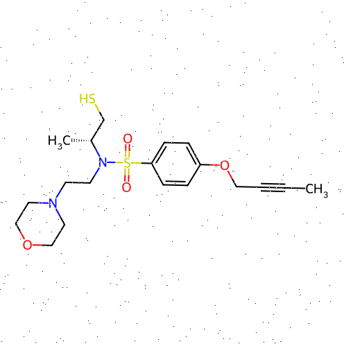 CC#CCOc1ccc(S(=O)(=O)N(CCN2CCOCC2)[C@H](C)CS)cc1